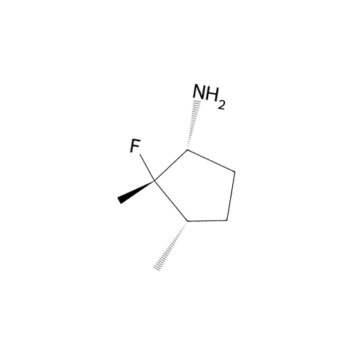 C[C@H]1CC[C@@H](N)[C@@]1(C)F